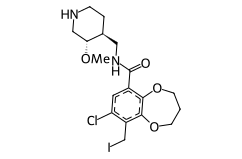 CO[C@@H]1CNCC[C@H]1CNC(=O)c1cc(Cl)c(CI)c2c1OCCCO2